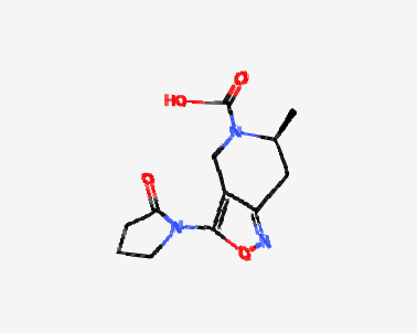 C[C@H]1Cc2noc(N3CCCC3=O)c2CN1C(=O)O